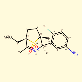 COC[C@]12CC[C@H]([C@@](C)(c3cc(N)ccc3F)N=C1C)S2(=O)=O